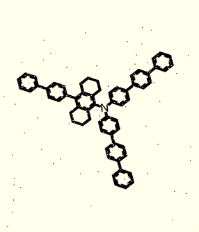 c1ccc(-c2ccc(-c3ccc(N(c4ccc(-c5ccc(-c6ccccc6)cc5)cc4)c4c5c(c(-c6ccc(-c7ccccc7)cc6)c6c4CCCC6)CCCC5)cc3)cc2)cc1